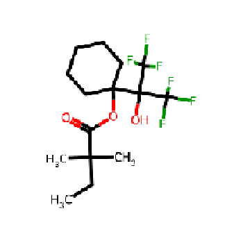 CCC(C)(C)C(=O)OC1(C(O)(C(F)(F)F)C(F)(F)F)CCCCC1